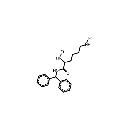 CCN[C@@H](CCCCNC(C)C)C(=O)NC(c1ccccc1)c1ccccc1